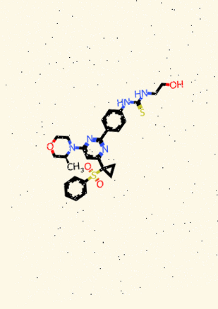 C[C@H]1COCCN1c1cc(C2(S(=O)(=O)c3ccccc3)CC2)nc(-c2ccc(NC(=S)NCCO)cc2)n1